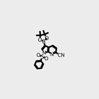 CC1(C)OB(c2cn(S(=O)(=O)c3ccccc3)c3nc(C#N)ccc23)OC1(C)C